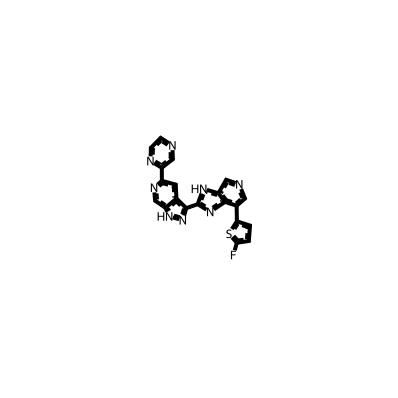 Fc1ccc(-c2cncc3[nH]c(-c4n[nH]c5cnc(-c6cnccn6)cc45)nc23)s1